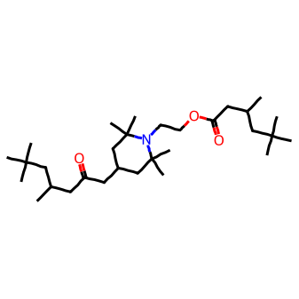 CC(CC(=O)CC1CC(C)(C)N(CCOC(=O)CC(C)CC(C)(C)C)C(C)(C)C1)CC(C)(C)C